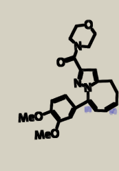 COc1ccc(/C2=C/C=C\CCc3cc(C(=O)N4CCOCC4)nn32)cc1OC